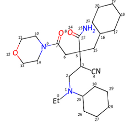 CCN(CC(C#N)C(CC(=O)N1CCOCC1)(CC1CCCCC1)C(N)=O)C1CCCCC1